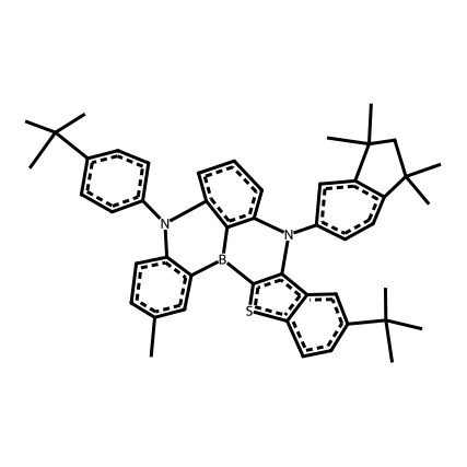 Cc1ccc2c(c1)B1c3sc4ccc(C(C)(C)C)cc4c3N(c3ccc4c(c3)C(C)(C)CC4(C)C)c3cccc(c31)N2c1ccc(C(C)(C)C)cc1